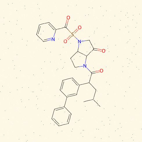 CC(C)CC(C(=O)N1CCC2C1C(=O)CN2S(=O)(=O)C(=O)c1ccccn1)c1cccc(-c2ccccc2)c1